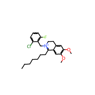 CCCCCCCC1=[N+](Cc2c(F)cccc2Cl)CCc2cc(OC)c(OC)cc21